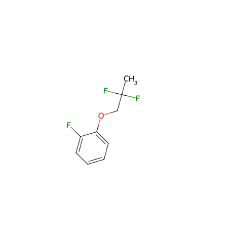 CC(F)(F)COc1ccccc1F